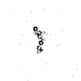 CN1CN(c2ccccc2Cl)C(=O)c2cnc(Nc3ccc(N4CCNC5(CC5)C4)cc3)nc21